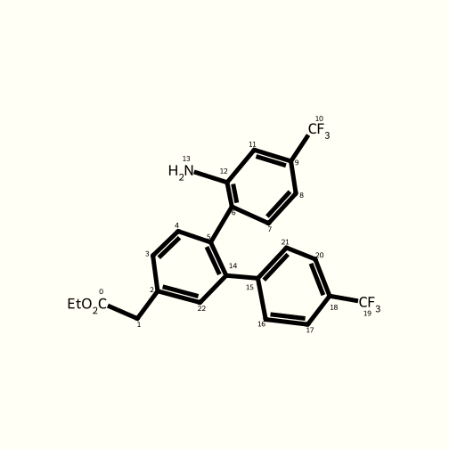 CCOC(=O)Cc1ccc(-c2ccc(C(F)(F)F)cc2N)c(-c2ccc(C(F)(F)F)cc2)c1